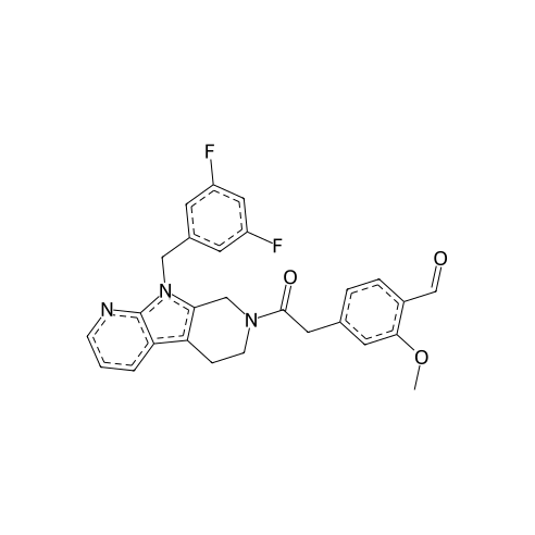 COc1cc(CC(=O)N2CCc3c(n(Cc4cc(F)cc(F)c4)c4ncccc34)C2)ccc1C=O